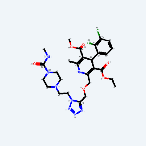 CCOC(=O)C1=C(COCc2nnnn2CCN2CCN(C(=O)NC)CC2)NC(C)=C(C(=O)OC)C1c1cccc(Cl)c1Cl